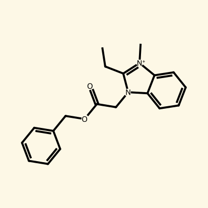 CCc1n(CC(=O)OCc2ccccc2)c2ccccc2[n+]1C